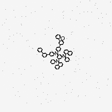 c1ccc(-c2cccc(-c3ccc(N(c4ccc(-c5ccc6oc7ccccc7c6c5)cc4)c4cc(N(c5ccccc5)c5cccc6ccccc56)cc(N(c5ccccc5)c5cccc6ccccc56)c4)cc3)c2)cc1